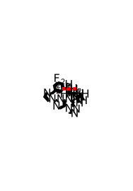 [2H]C([2H])([2H])C([2H])([2H])[C@H]1c2nncn2-c2cnc(-n3ccnc3-c3cc(F)cc(F)c3)nc2N1C([2H])(C([2H])([2H])[2H])C([2H])([2H])[2H]